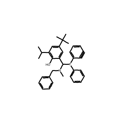 CC(C)c1cc(C(C)(C)C)cc(C(N(C)Cc2ccccc2)P(c2c#cccc2)c2ccccc2)c1O